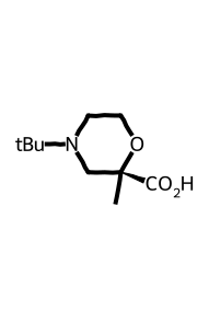 CC(C)(C)N1CCO[C@@](C)(C(=O)O)C1